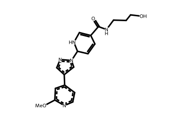 COc1cc(-c2cnn(C3C=CC(C(=O)NCCCO)=CN3)c2)ccn1